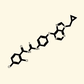 O=C(NC(=S)Nc1ccc(Oc2ncnc3c2ncn3CC2CC2)cc1)c1ccc(Cl)cc1Cl